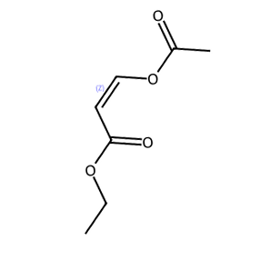 CCOC(=O)/C=C\OC(C)=O